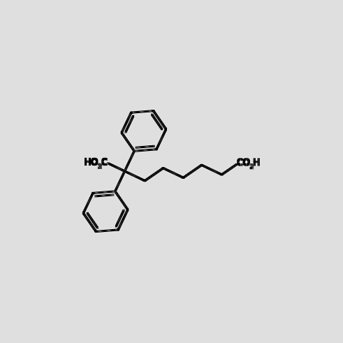 O=C(O)CCCCCC(C(=O)O)(c1ccccc1)c1ccccc1